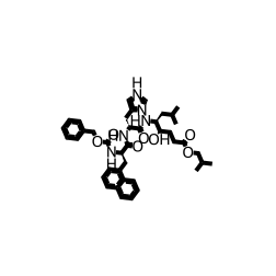 CC(C)COC(=O)CC[C@H](O)[C@H](CC(C)C)NC(=O)[C@@H](Cc1c[nH]cn1)NC(=O)[C@@H](Cc1cccc2ccccc12)NC(=O)OCc1ccccc1